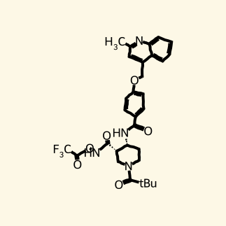 Cc1cc(COc2ccc(C(=O)N[C@@H]3CCN(C(=O)C(C)(C)C)C[C@@H]3C(=O)NOC(=O)C(F)(F)F)cc2)c2ccccc2n1